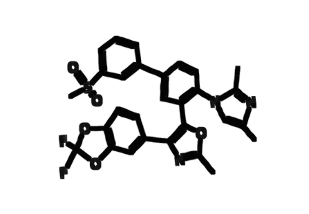 Cc1cn(-c2ccc(-c3cccc(S(C)(=O)=O)c3)cc2-c2oc(C)nc2-c2ccc3c(c2)OC(F)(F)O3)c(C)n1